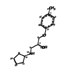 Cc1ccc(OCC(O)CNC2CCCC2)cc1